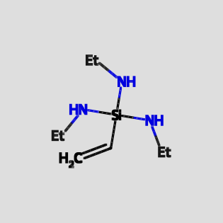 C=C[Si](NCC)(NCC)NCC